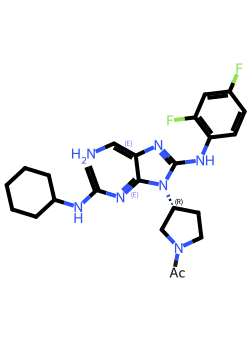 C=C(/N=C1\C(=C/N)N=C(Nc2ccc(F)cc2F)N1[C@@H]1CCN(C(C)=O)C1)NC1CCCCC1